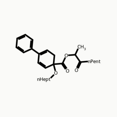 CCCCCCCOC1(C(=O)OC(C)C(=O)CCCCC)C=CC(c2ccccc2)=CC1